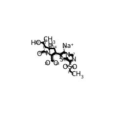 CCS(=O)(=O)c1ncn2cc(C3=C(C(=O)[O-])N4C(=O)[C@H]([C@@H](C)O)[C@H]4C3)sc12.[Na+]